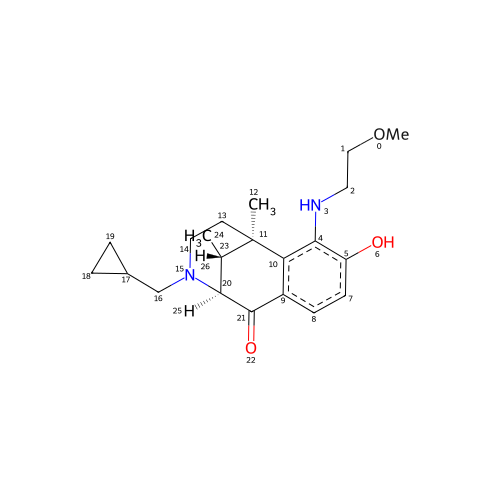 COCCNc1c(O)ccc2c1[C@]1(C)CCN(CC3CC3)[C@H](C2=O)[C@@H]1C